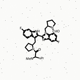 CCCC(NC)C(=O)N1CCCC1Cc1c(-c2nc3cc(F)ccc3n2CC2CCCN2C=O)[nH]c2cc(F)ccc12